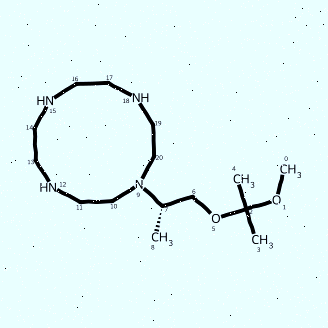 COC(C)(C)OC[C@H](C)N1CCNCCNCCNCC1